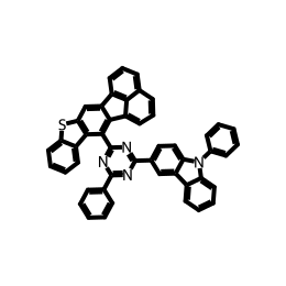 c1ccc(-c2nc(-c3ccc4c(c3)c3ccccc3n4-c3ccccc3)nc(-c3c4c(cc5sc6ccccc6c35)-c3cccc5cccc-4c35)n2)cc1